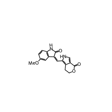 COc1ccc2c(c1)/C(=C/c1[nH]cc3c1CCOC3=O)C(=O)N2